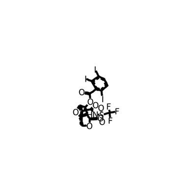 O=C(Oc1c2c3oc1c(C(=O)NS(=O)(=O)C(F)(F)F)c3OC2=O)c1c(I)ccc(I)c1I